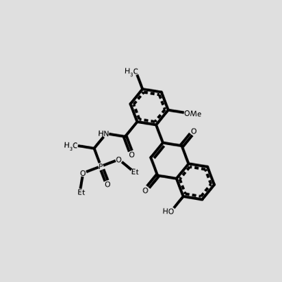 CCOP(=O)(OCC)C(C)NC(=O)c1cc(C)cc(OC)c1C1=CC(=O)c2c(O)cccc2C1=O